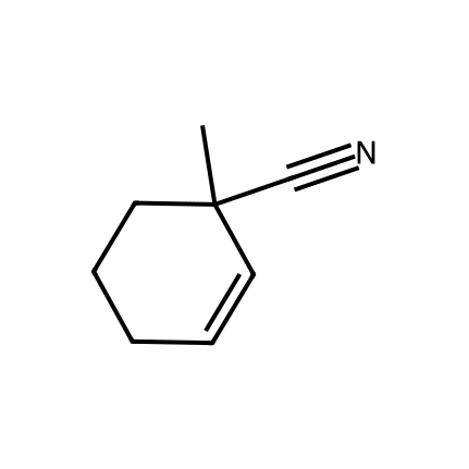 CC1(C#N)C=CCCC1